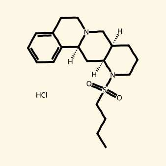 CCCCS(=O)(=O)N1CCC[C@@H]2CN3CCc4ccccc4[C@@H]3C[C@@H]21.Cl